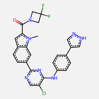 Cn1c(C(=O)N2CC(F)(F)C2)cc2ccc(-c3ncc(Cl)c(Nc4ccc(-c5cn[nH]c5)cc4)n3)cc21